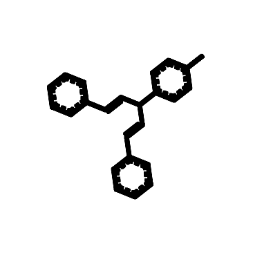 Cc1ccc(C(C=Cc2ccccc2)C=Cc2ccccc2)cc1